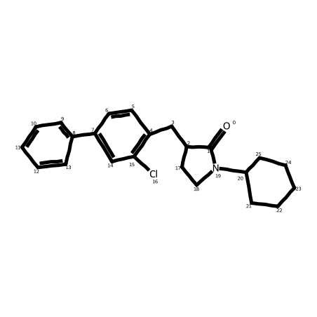 O=C1C(Cc2ccc(-c3ccccc3)cc2Cl)CCN1C1CCCCC1